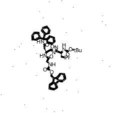 CC(C)C[C@H](NC(=O)OC(C)(C)C)c1noc([C@H](CC(=O)NC(c2ccccc2)(c2ccccc2)c2ccccc2)NC(=O)CNC(=O)OCC2c3ccccc3-c3ccccc32)n1